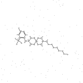 CCCCCCCCOP1OCC2(CO1)COP(Oc1ccc(C)cc1C(C)(C)C)OC2